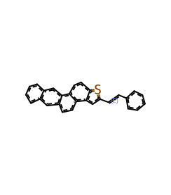 C(=C\c1cc2c(ccc3c4cc5ccccc5cc4ccc23)s1)/c1ccccc1